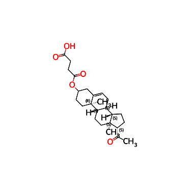 CC(=O)[C@H]1CC[C@H]2[C@@H]3CC=C4CC(OC(=O)CCC(=O)O)CC[C@]4(C)[C@H]3CC[C@]12C